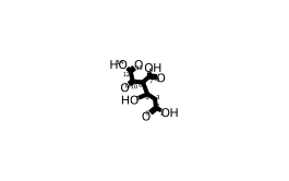 O=C(O)CC(O)C(C(=O)O)C(=O)C(=O)O